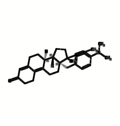 CC#CC1(O)CC[C@H]2[C@@H]3CCC4=CC(=O)CCC4=C3CC[C@@]21Cc1ccc(N(C)C)cc1